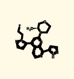 C[C@@H]1COCCN1c1cc(-c2ccnn2CCF)c2ccnc(-c3ccn[nH]3)c2n1